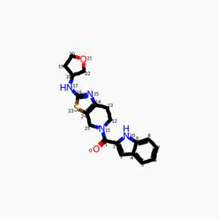 O=C(c1cc2ccccc2[nH]1)N1CCc2nc(NC3CCOC3)sc2C1